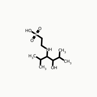 CC(C)C(O)C(NCCS(=O)(=O)O)C(C)C